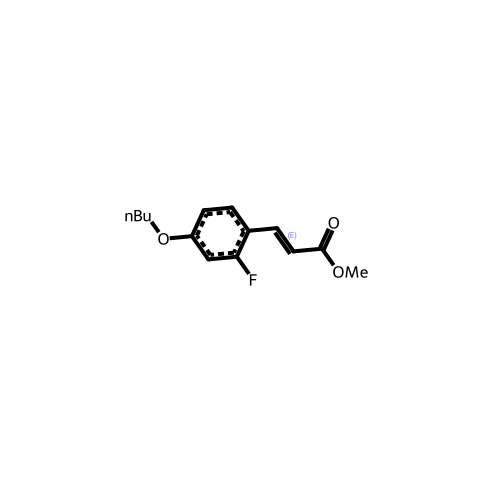 CCCCOc1ccc(/C=C/C(=O)OC)c(F)c1